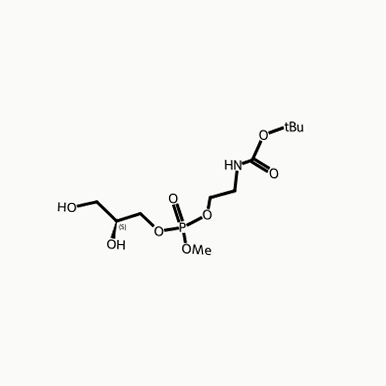 COP(=O)(OCCNC(=O)OC(C)(C)C)OC[C@@H](O)CO